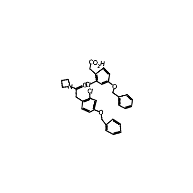 O=C(Cc1ccc(OCc2ccccc2)cc1Cl)N1CCC1.O=C(O)Cc1ccc(OCc2ccccc2)cc1Cl